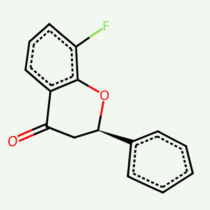 O=C1C[C@H](c2ccccc2)Oc2c(F)cccc21